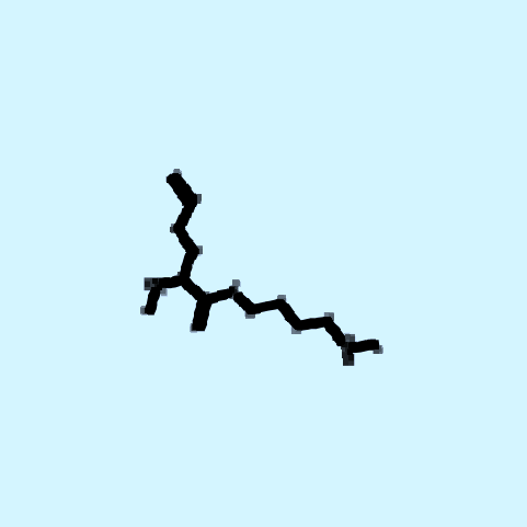 C=CCCC(NC)C(=C)SCCCCNC